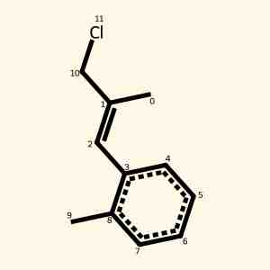 C/C(=C\c1ccccc1C)CCl